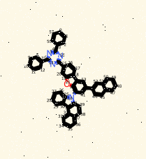 c1ccc(-c2nc(-c3ccccc3)nc(-c3ccc4c(c3)oc3c(-n5c6ccccc6c6c7ccccc7ccc65)cc(-c5ccc6ccccc6c5)cc34)n2)cc1